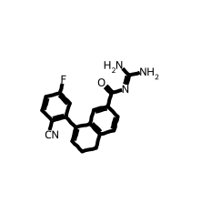 N#Cc1ccc(F)cc1C1=CCCc2ccc(C(=O)N=C(N)N)cc21